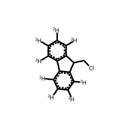 [2H]c1c([2H])c([2H])c2c(c1[2H])-c1c([2H])c([2H])c([2H])c([2H])c1C2CCl